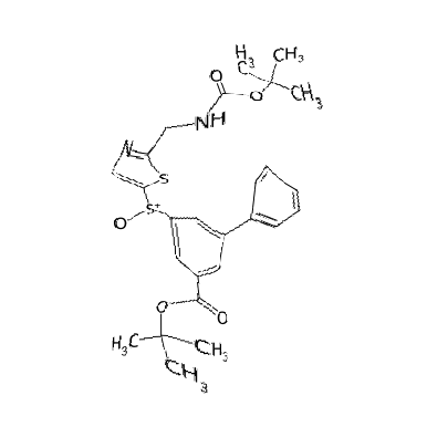 CC(C)(C)OC(=O)NCc1ncc([S+]([O-])c2cc(C(=O)OC(C)(C)C)cc(-c3ccccc3)c2)s1